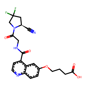 N#C[C@@H]1CC(F)(F)CN1C(=O)CNC(=O)c1ccnc2ccc(OCCCC(=O)O)cc12